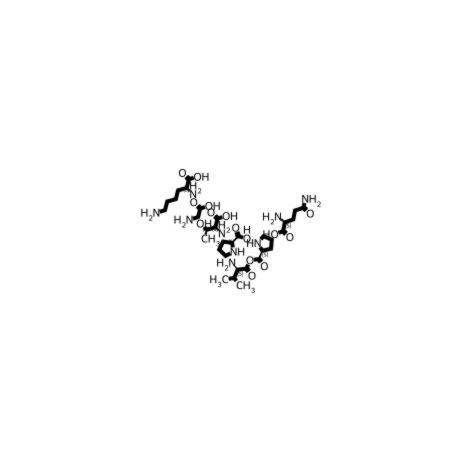 CC(C)[C@H](N)C(=O)OC(=O)[C@@H]1CCCN1.C[C@@H](O)[C@H](N)C(=O)O.NC(=O)CC[C@H](N)C(=O)O.NCC(=O)O.NCCCC[C@H](N)C(=O)O.O=C(O)[C@@H]1CCCN1